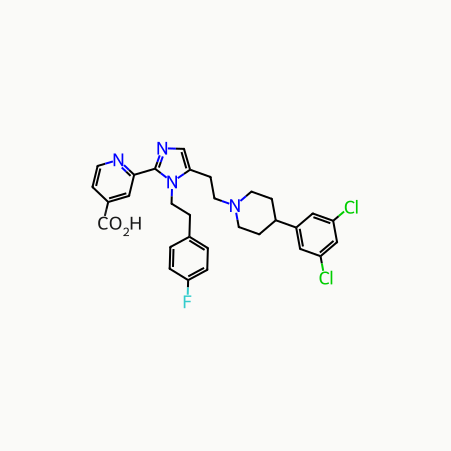 O=C(O)c1ccnc(-c2ncc(CCN3CCC(c4cc(Cl)cc(Cl)c4)CC3)n2CCc2ccc(F)cc2)c1